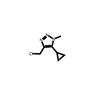 Cn1nnc(CCl)c1C1CC1